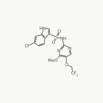 COc1nc(NS(=O)(=O)c2c[nH]c3cc(Cl)ccc23)ncc1OCC(F)(F)F